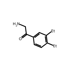 CCc1ccc(C(=O)CN)cc1CC